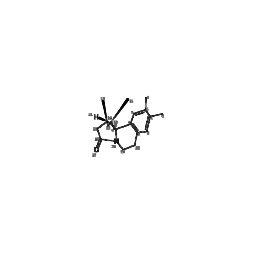 Cc1cc2c(cc1C)C13C[C@H](C)[C@@H](C)[C@@H]1CC(=O)N3CC2